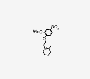 COc1cc([N+](=O)[O-])ccc1OCCN1CCCCC1C